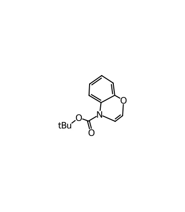 CC(C)(C)OC(=O)N1C=COc2ccccc21